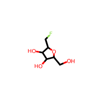 OCC1OC(CF)C(O)C1O